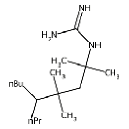 CCCCC(CCC)C(C)(C)CC(C)(C)NC(=N)N